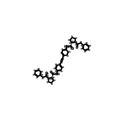 O=C(NC1=CC=C(C#Cc2ccc(NC(=O)[C@@H]3CCCN3C(=O)Cc3ccccc3)cc2)CC1)[C@@H]1CCCN1C(=O)Cc1ccccc1